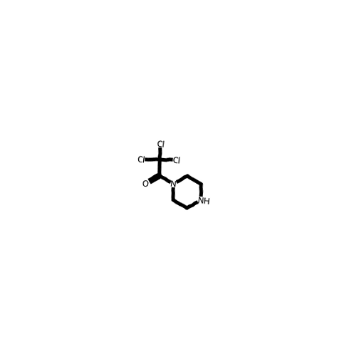 O=C(N1CCNCC1)C(Cl)(Cl)Cl